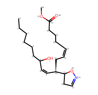 CCCCCCC(O)/C=C\[C@@H](C/C=C\CCCC(=O)OC)C1CC=NO1